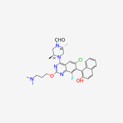 C[C@@H]1CN(c2nc(OCCCN(C)C)nc3c(F)c(-c4c(O)ccc5ccccc45)c(Cl)cc23)[C@@H](C)CN1C=O